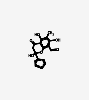 Cc1c(O)c(C=O)c2c(c1O)C(=O)CC(O)(c1ccccc1)O2